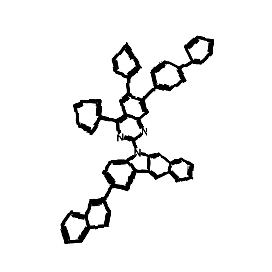 c1ccc(-c2ccc(-c3cc4nc(-n5c6ccc(-c7ccc8ccccc8c7)cc6c6cc7ccccc7cc65)nc(-c5ccccc5)c4cc3-c3ccccc3)cc2)cc1